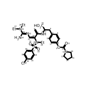 C=C(NC(Cc1ccc(OC(=O)N2CCCC2)cc1)C(=O)O)/C(=C\N=C(/N)N(CC)CC)N(CC)S(=O)(=O)c1ccc(Cl)cc1